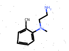 CN(CCN)c1ccccc1C#N